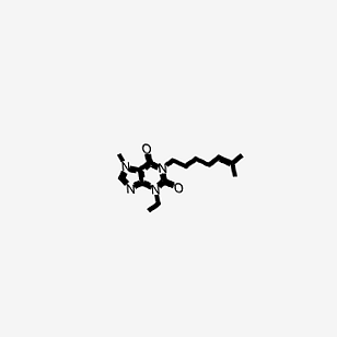 CCn1c(=O)n(CCCCC=C(C)C)c(=O)c2c1ncn2C